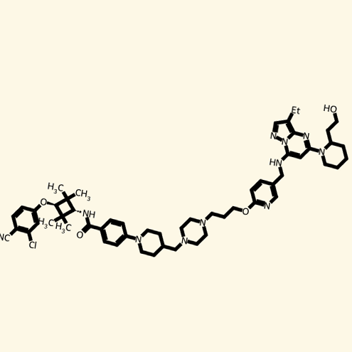 CCc1cnn2c(NCc3ccc(OCCCN4CCN(CC5CCN(c6ccc(C(=O)N[C@H]7C(C)(C)[C@H](Oc8ccc(C#N)c(Cl)c8)C7(C)C)cc6)CC5)CC4)nc3)cc(N3CCCCC3CCO)nc12